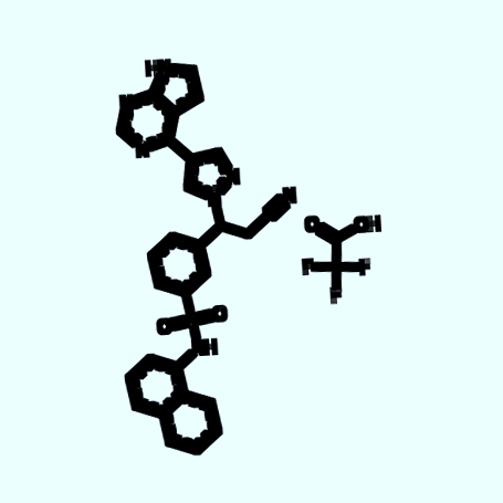 N#CCC(c1cccc(S(=O)(=O)Nc2cccc3ccccc23)c1)n1cc(-c2ncnc3[nH]ccc23)cn1.O=C(O)C(F)(F)F